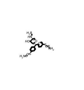 BCN[C@@H]1CO[C@H](C(c2ccc(SOON)cc2)c2ccc(SOON)cc2)CC1O